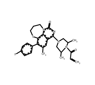 C=CC(=O)N1C(C)CN(c2nc(=O)n3c4c(c(-c5ccc(F)cc5)c(C(F)(F)F)cc24)SCCC3)CC1C